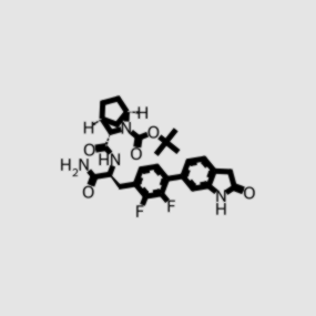 CC(C)(C)OC(=O)N1[C@@H]2CC[C@@H](C2)[C@H]1C(=O)N[C@@H](Cc1ccc(-c2ccc3c(c2)NC(=O)C3)c(F)c1F)C(N)=O